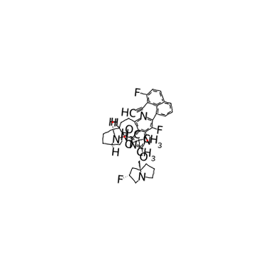 C#Cc1c(F)ccc2cccc(-c3nc4c5c(nc(OC[C@@]67CCCN6C[C@H](F)C7)nc5c3F)N3C[C@H]5CC[C@@H]([C@@H]3CC4)N5C(=O)OC(C)(C)C)c12